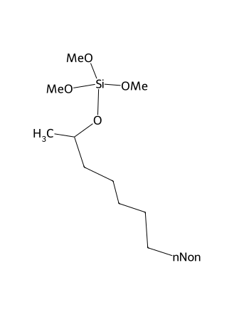 CCCCCCCCCCCCCCC(C)O[Si](OC)(OC)OC